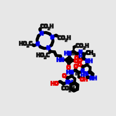 C[C@H](NC(=O)[C@H](CC(=O)O)Nc1c(NCCCC(C(=O)O)N2CCN(CC(=O)O)CCN(CC(=O)O)CCN(CC(=O)O)CC2)c(=O)c1=O)C(=O)N[C@@H](Cc1c[nH]cn1)C(=O)N[C@@H](CO)C(=O)N[C@@H](Cc1ccccc1)C(=O)N[C@@H](CO)C(=O)O